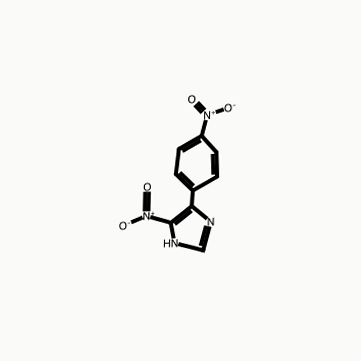 O=[N+]([O-])c1ccc(-c2nc[nH]c2[N+](=O)[O-])cc1